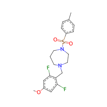 COc1cc(F)c(CN2CCCN(S(=O)(=O)c3ccc(C)cc3)CC2)c(F)c1